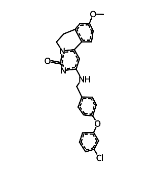 COc1ccc2c(c1)CCn1c-2cc(NCc2ccc(Oc3cccc(Cl)c3)cc2)nc1=O